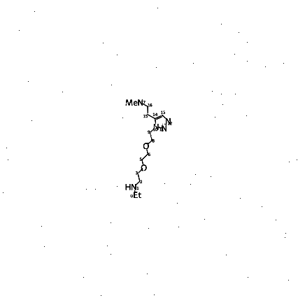 CCNCCOCCOCCn1nncc1CCNC